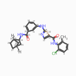 Cc1cccc(Cl)c1NC(=O)c1cnc(Nc2cccc(C(=O)NC3C[C@@H]4CC[C@H]3C4)c2)s1